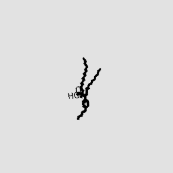 CCCCCCCCCCCCCCC(C)(C(=O)O)C(CCCCCCCCCCC)c1ccc(CCCCC)cc1